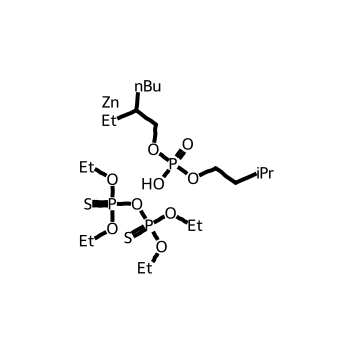 CCCCC(CC)COP(=O)(O)OCCC(C)C.CCOP(=S)(OCC)OP(=S)(OCC)OCC.[Zn]